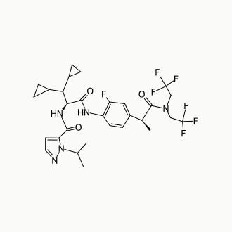 CC(C)n1nccc1C(=O)N[C@H](C(=O)Nc1ccc([C@H](C)C(=O)N(CC(F)(F)F)CC(F)(F)F)cc1F)C(C1CC1)C1CC1